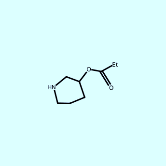 CCC(=O)OC1CCCNC1